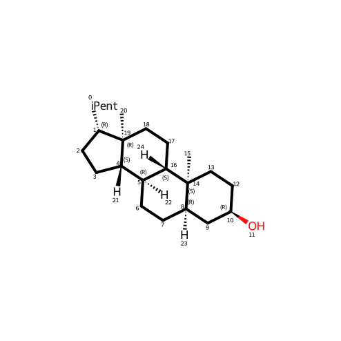 CCCC(C)[C@H]1CC[C@H]2[C@@H]3CC[C@@H]4C[C@H](O)CC[C@]4(C)[C@H]3CC[C@]12C